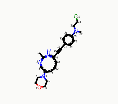 Cc1ncc(N2CCOCC2)cccc(C#Cc2ccc(N(C)CCF)cc2)[nH]1